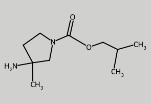 CC(C)COC(=O)N1CCC(C)(N)C1